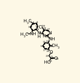 CNc1cc(C)ccc1Nc1nc(Nc2cccc(OCC(=O)O)c2C)ncc1Cl